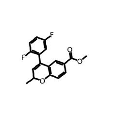 COC(=O)c1ccc2c(c1)C(c1cc(F)ccc1F)=CC(C)O2